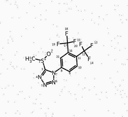 C[S+]([O-])c1nnnn1-c1ccc(C(F)(F)F)c(C(F)(F)F)c1